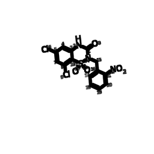 O=C1Nc2cc(Cl)cc(Cl)c2S(=O)(=O)N1Cc1ccccc1[N+](=O)[O-]